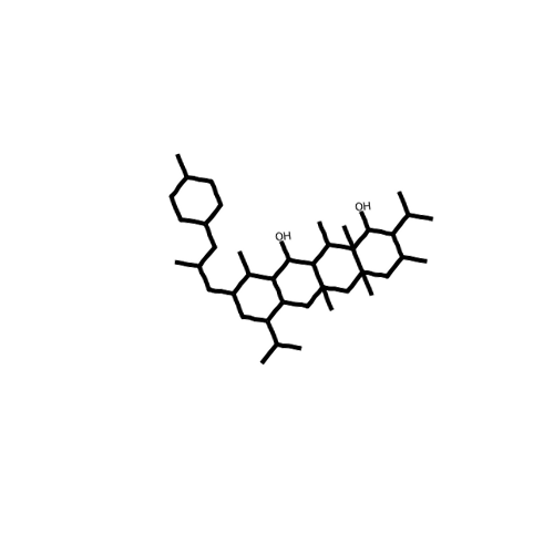 CC1CCC(CC(C)CC2CC(C(C)C)C3CC4(C)CC5(C)CC(C)C(C(C)C)C(O)C5(C)C(C)C4C(O)C3C2C)CC1